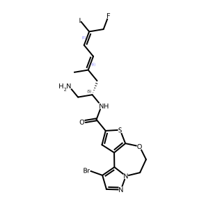 C/C(=C\C=C(\I)CF)C[C@@H](CN)NC(=O)c1cc2c(s1)OCCn1ncc(Br)c1-2